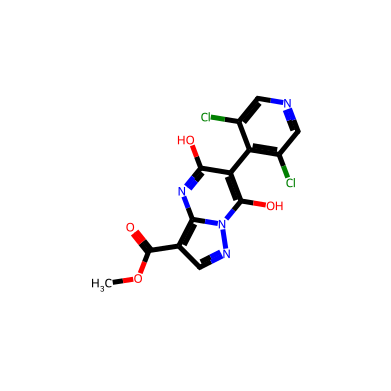 COC(=O)c1cnn2c(O)c(-c3c(Cl)cncc3Cl)c(O)nc12